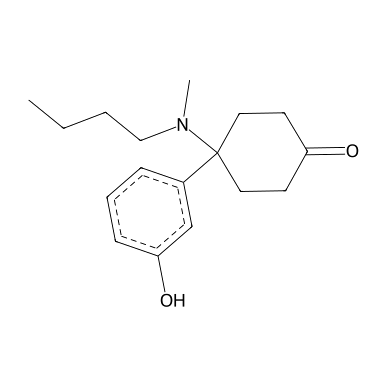 CCCCN(C)C1(c2cccc(O)c2)CCC(=O)CC1